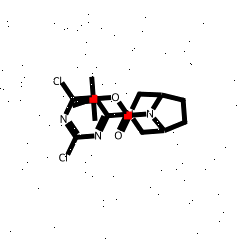 CC(C)(C)OC(=O)N1C2CCC1CN(c1cc(Cl)nc(Cl)n1)C2